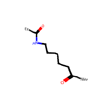 CCC(=O)NCCCCCC(=O)NC